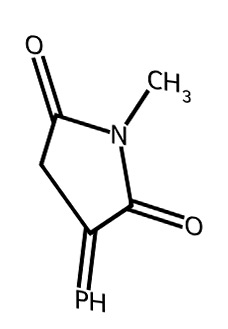 CN1C(=O)CC(=P)C1=O